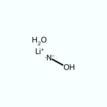 O.[Li+].[N-]O